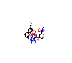 Cc1nc2c(Oc3cccc(C(=O)N(C)C)c3)nc(Oc3cc(C#N)ccc3O)nc2n1Cc1ccccc1